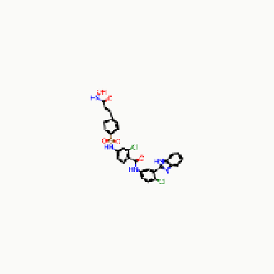 O=C(/C=C/c1ccc(S(=O)(=O)Nc2ccc(C(=O)Nc3ccc(Cl)c(-c4nc5ccccc5[nH]4)c3)c(Cl)c2)cc1)NO